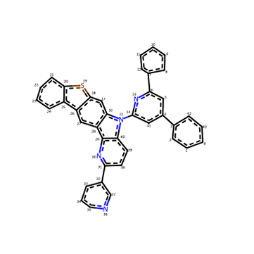 c1ccc(-c2cc(-c3ccccc3)nc(-n3c4cc5sc6ccccc6c5cc4c4nc(-c5cccnc5)ccc43)c2)cc1